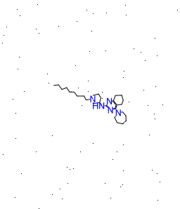 CCCCCCCCCN1CCCC(Nc2nc3c(c(N4CCCCCC4)n2)CCCC3)C1